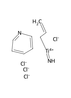 C=C[CH2][Ti+4]=[NH].[Cl-].[Cl-].[Cl-].[Cl-].c1ccncc1